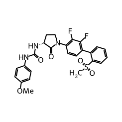 COc1ccc(NC(=O)N[C@@H]2CCN(c3ccc(-c4ccccc4S(C)(=O)=O)c(F)c3F)C2=O)cc1